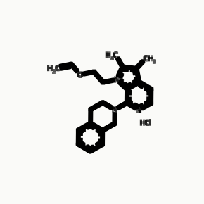 C=COCCn1c(C)c(C)c2ccnc(N3CCc4ccccc4C3)c21.Cl